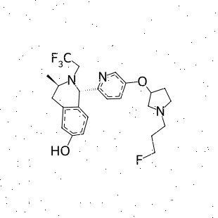 C[C@@H]1Cc2cc(O)ccc2[C@@H](c2ccc(OC3CCN(CCCF)C3)cn2)N1CC(F)(F)F